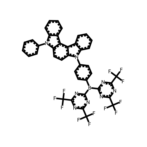 FC(F)(F)c1nc(B(c2ccc(-n3c4ccccc4c4c5c6ccccc6n(-c6ccccc6)c5ccc43)cc2)c2nc(C(F)(F)F)nc(C(F)(F)F)n2)nc(C(F)(F)F)n1